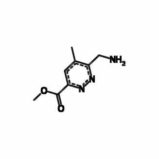 COC(=O)c1cc(C)c(CN)nn1